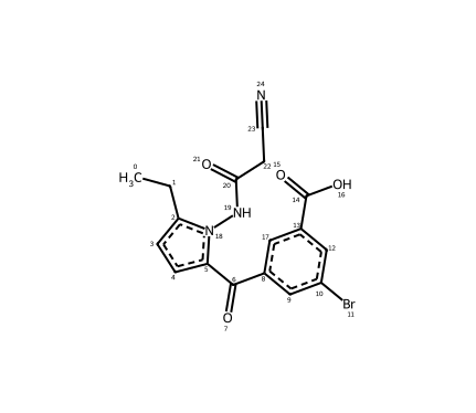 CCc1ccc(C(=O)c2cc(Br)cc(C(=O)O)c2)n1NC(=O)CC#N